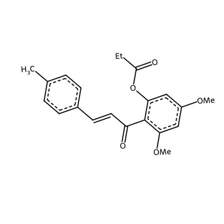 CCC(=O)Oc1cc(OC)cc(OC)c1C(=O)/C=C/c1ccc(C)cc1